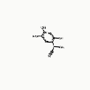 N#CC(O)c1cc(O)c(O)cc1O